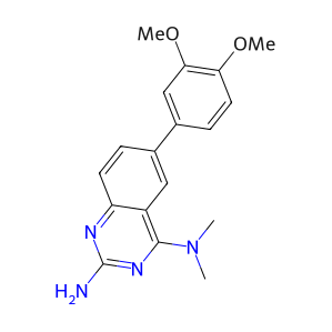 COc1ccc(-c2ccc3nc(N)nc(N(C)C)c3c2)cc1OC